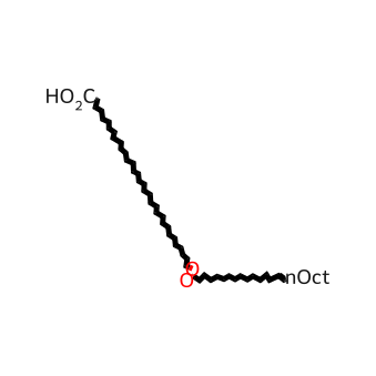 CCCCCCCCC=CCCCCCCCCCCCCCC(=O)OCCCCCCCCCCCCCCCCCCCCCCCCCCCCCCCCC(=O)O